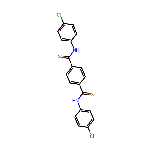 S=C(Nc1ccc(Cl)cc1)c1ccc(C(=S)Nc2ccc(Cl)cc2)cc1